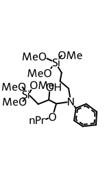 CCCOC(C(O)C[Si](OC)(OC)OC)N(CCC[Si](OC)(OC)OC)c1ccccc1